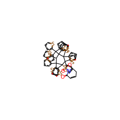 O=C1C=CCCN1S(=O)(=O)C1(c2cccs2)C(c2cccs2)(c2cccs2)C(c2cccs2)C(c2cccs2)(C(c2cccs2)(c2cccs2)c2cccs2)C(c2cccs2)(c2cccs2)C1(c1cccs1)c1cccs1